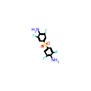 Nc1c(F)cc(S(=O)(=O)c2cc(F)c(N)c(F)c2)cc1F